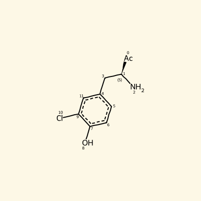 CC(=O)[C@@H](N)Cc1ccc(O)c(Cl)c1